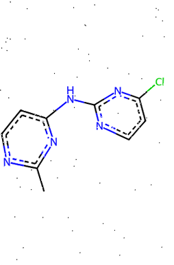 Cc1nccc(Nc2nccc(Cl)n2)n1